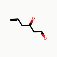 C=CCC(=O)C[C]=O